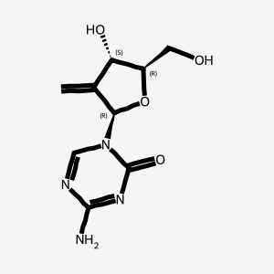 C=C1[C@H](n2cnc(N)nc2=O)O[C@H](CO)[C@H]1O